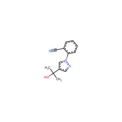 CC(C)(O)c1cnn(-c2ccccc2C#N)c1